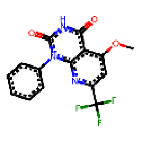 COc1cc(C(F)(F)F)nc2c1c(=O)[nH]c(=O)n2-c1ccccc1